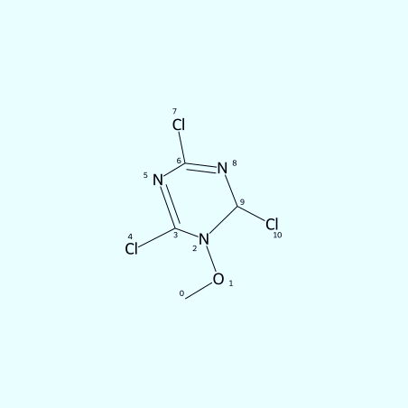 CON1C(Cl)=NC(Cl)=NC1Cl